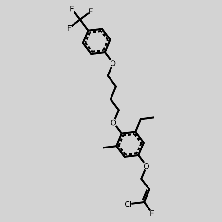 CCc1cc(OC/C=C(/F)Cl)cc(C)c1OCCCCOc1ccc(C(F)(F)F)cc1